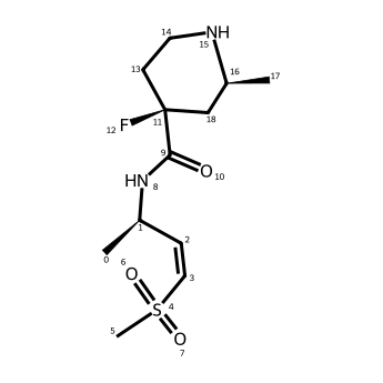 C[C@H](/C=C\S(C)(=O)=O)NC(=O)[C@]1(F)CCN[C@@H](C)C1